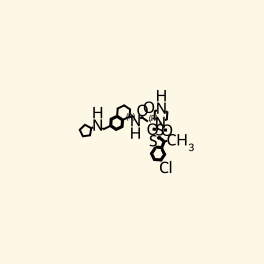 Cc1c(S(=O)(=O)N2CCNC(=O)[C@H]2CC(=O)N[C@@H]2CCCc3cc(CNC4CCCC4)ccc32)sc2ccc(Cl)cc12